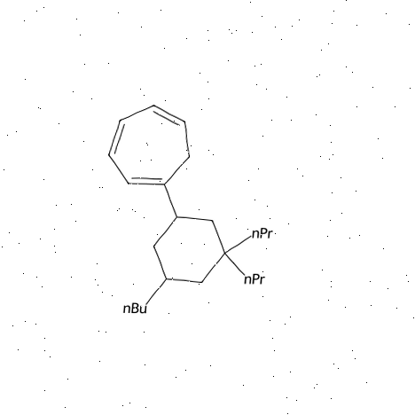 CCCCC1CC(C2=CC=CC=CC2)CC(CCC)(CCC)C1